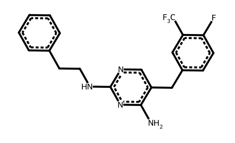 Nc1nc(NCCc2ccccc2)ncc1Cc1ccc(F)c(C(F)(F)F)c1